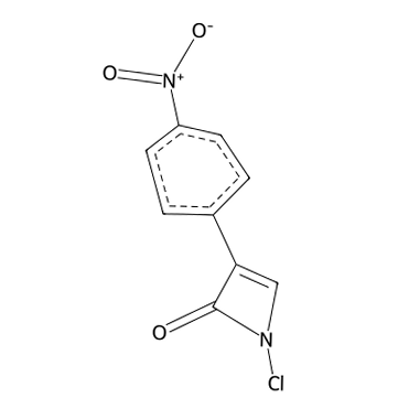 O=C1C(c2ccc([N+](=O)[O-])cc2)=CN1Cl